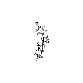 CN1CCN(C(=S)Nc2nc(-c3ccc(F)cc3)cs2)CC1